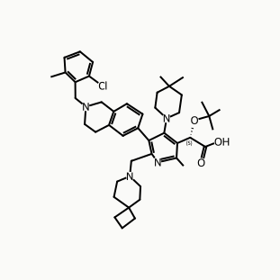 Cc1cccc(Cl)c1CN1CCc2cc(-c3c(CN4CCC5(CCC5)CC4)nc(C)c([C@H](OC(C)(C)C)C(=O)O)c3N3CCC(C)(C)CC3)ccc2C1